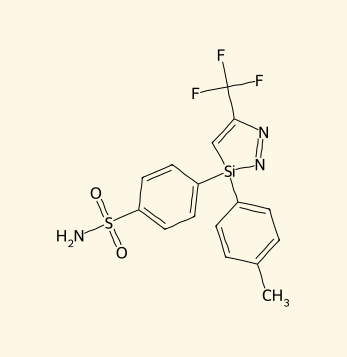 Cc1ccc([Si]2(c3ccc(S(N)(=O)=O)cc3)C=C(C(F)(F)F)N=N2)cc1